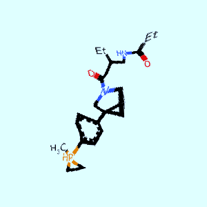 CCC(=O)NCC(CC)C(=O)N1CC2CC2(c2ccc([PH]3(C)CC3)cc2)C1